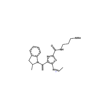 C=C(c1nc(C(=O)NCCCNC)sc1/N=C\C)N1c2ccccc2CC1C